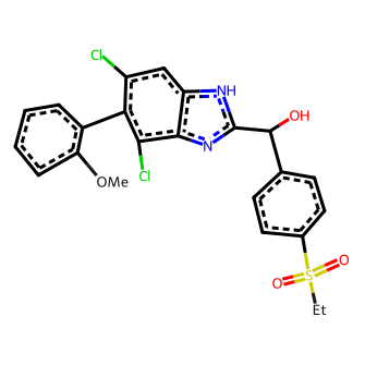 CCS(=O)(=O)c1ccc(C(O)c2nc3c(Cl)c(-c4ccccc4OC)c(Cl)cc3[nH]2)cc1